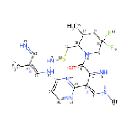 CC(C)N/C=C(\C(=N)C(=O)N1CC(F)(F)CC(C)C1CSNN/C=C(\C=N)C(F)(F)F)c1ncccn1